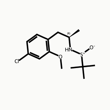 COc1cc(Cl)ccc1C[C@@H](C)N[S+]([O-])C(C)(C)C